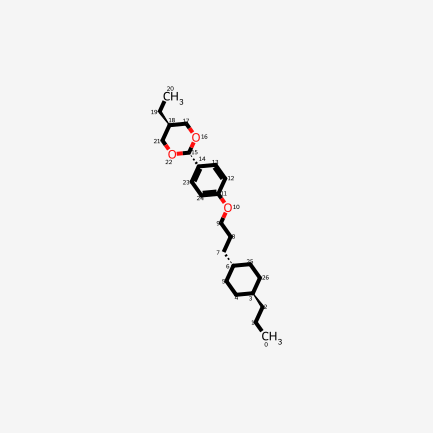 CCC[C@H]1CC[C@H](CCCOc2ccc([C@H]3OC[C@H](CC)CO3)cc2)CC1